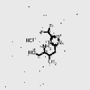 CC(Cc1noc(C(F)F)n1)C(N)CO.Cl